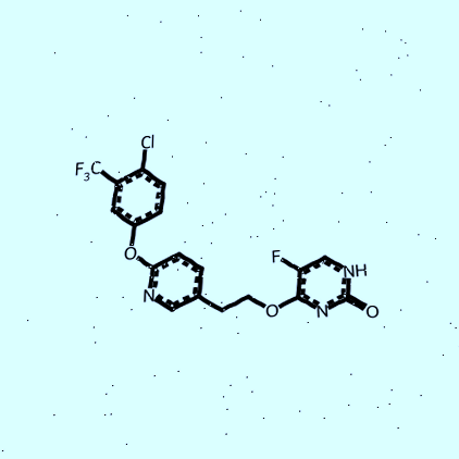 O=c1nc(OCCc2ccc(Oc3ccc(Cl)c(C(F)(F)F)c3)nc2)c(F)c[nH]1